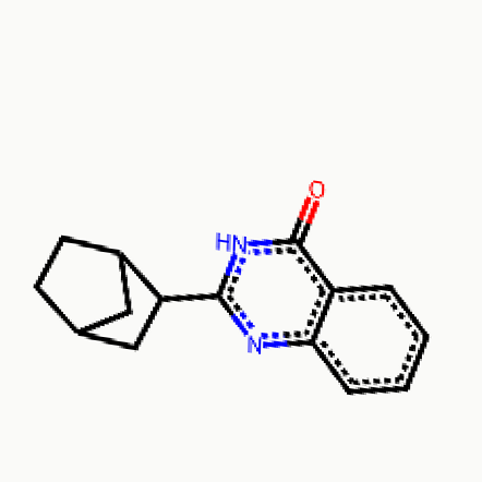 O=c1[nH]c(C2CC3CCC2C3)nc2ccccc12